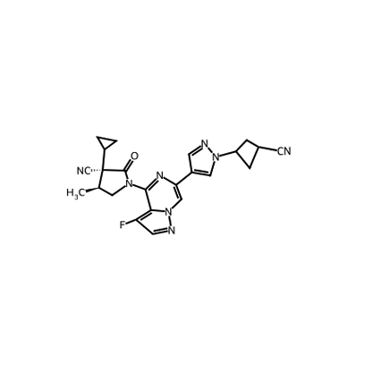 C[C@@H]1CN(c2nc(-c3cnn(C4CC(C#N)C4)c3)cn3ncc(F)c23)C(=O)[C@]1(C#N)C1CC1